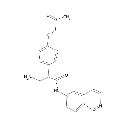 CC(=O)COc1ccc(C(CN)C(=O)Nc2ccc3cnccc3c2)cc1